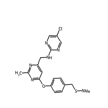 CNSCc1ccc(Oc2cc(CNc3ncc(Cl)cn3)nc(C)n2)cc1